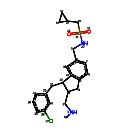 CNCC1Cc2ccc(CNS(=O)(=O)CC3CC3)cc2C1Cc1cccc(Cl)c1